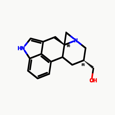 OC[C@@H]1CC2c3cccc4[nH]cc(c34)C[C@]23CN3C1